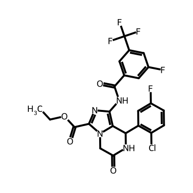 CCOC(=O)c1nc(NC(=O)c2cc(F)cc(C(F)(F)F)c2)c2n1CC(=O)NC2c1cc(F)ccc1Cl